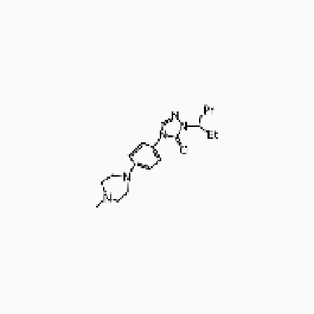 CCC(C(C)C)n1ncn(-c2ccc(N3CCN(C)CC3)cc2)c1=O